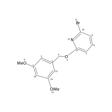 COc1cc(COc2cccc(Br)n2)cc(OC)c1